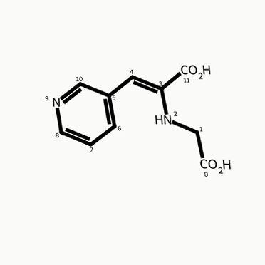 O=C(O)CNC(=Cc1cccnc1)C(=O)O